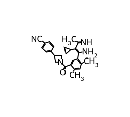 CC(=N)/C(=C(\N)c1cc(C(=O)N2CC(c3ccc(C#N)cc3)C2)c(C)cc1C)C1CC1